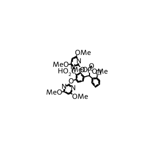 COc1cc(OC)nc(Oc2ccc(C(c3ccccc3Cl)P(=O)(OC)OC)c(Oc3nc(OC)cc(OC)n3)c2C(=O)O)n1